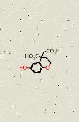 O=C(O)CC1(C(=O)O)CCOc2ccc(O)cc21